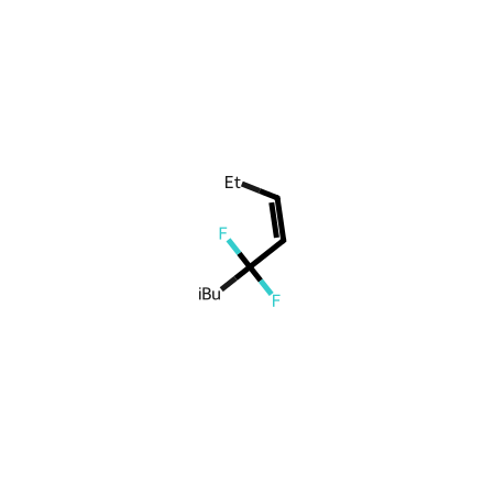 CC/C=C\C(F)(F)C(C)CC